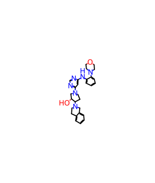 O[C@H]1CN(c2cc(Nc3ccccc3N3CCOCC3)ncn2)CCC1N1CCc2ccccc2C1